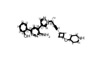 C[C@H](C#C[C@H]1C[C@H](OC2CCNCC2)C1)n1cc(-c2cc(-c3ccccc3O)nnc2N)cn1